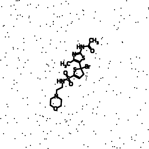 CC(=O)Nc1nc(C)c(C2(Br)CC=C(S(=O)(=O)NCCN3CCOCC3)S2)s1